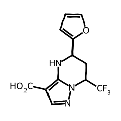 O=C(O)c1cnn2c1NC(c1ccco1)CC2C(F)(F)F